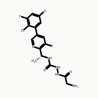 C[C@@H](NC(=O)NNC(=O)CN)c1ncc(-c2cc(Cl)cc(F)c2Cl)cc1F